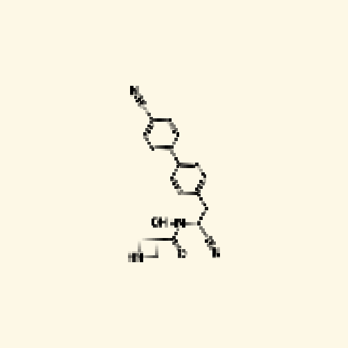 N#Cc1ccc(-c2ccc(CC(C#N)NC(=O)C3(O)CNC3)cc2)cc1